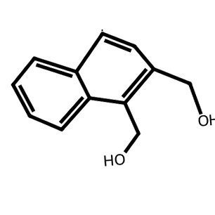 OCc1c[c]c2ccccc2c1CO